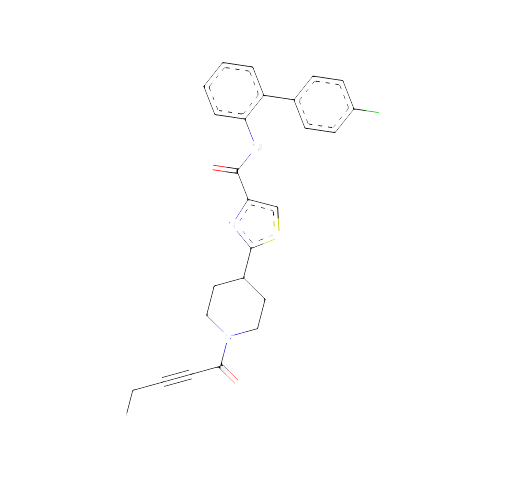 CCC#CC(=O)N1CCC(c2nc(C(=O)Nc3ccccc3-c3ccc(Cl)cc3)cs2)CC1